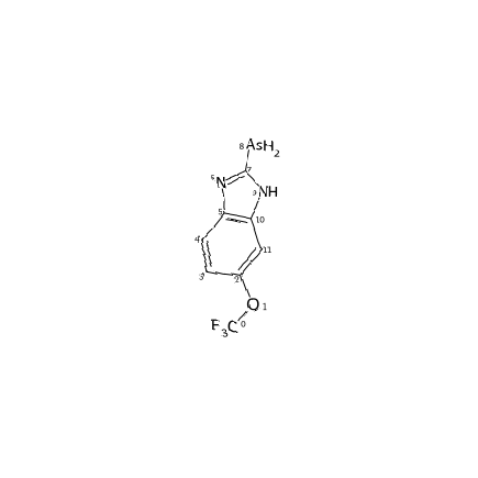 FC(F)(F)Oc1ccc2nc([AsH2])[nH]c2c1